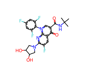 CC(C)(C)NC(=O)c1cn(-c2c(F)cc(F)cc2F)c2nc(N3CC(O)C(O)C3)c(F)cc2c1=O